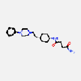 NC(=O)CCC(=O)N[C@H]1CC[C@H](CCN2CCN(c3ccccc3)CC2)CC1